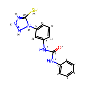 O=C(Nc1ccccc1)Nc1cccc(-n2nnnc2S)c1